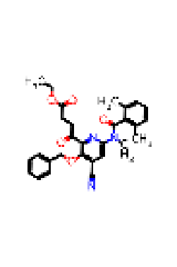 CCOC(=O)CCC(=O)c1nc(N(C)C(=O)c2c(C)cccc2C)cc(C#N)c1OCc1ccccc1